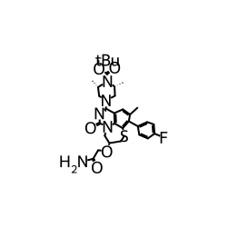 Cc1cc2c(N3C[C@@H](C)N(C(=O)OC(C)(C)C)[C@@H](C)C3)nc(=O)n3c2c(c1-c1ccc(F)cc1)SC[C@@H](OCC(N)=O)C3